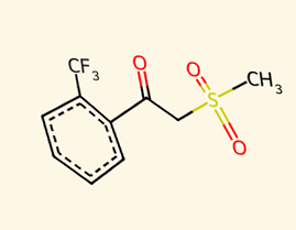 CS(=O)(=O)CC(=O)c1ccccc1C(F)(F)F